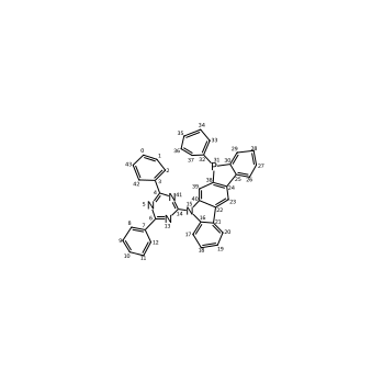 c1ccc(-c2nc(-c3ccccc3)nc(-n3c4ccccc4c4cc5c6ccccc6p(-c6ccccc6)c5cc43)n2)cc1